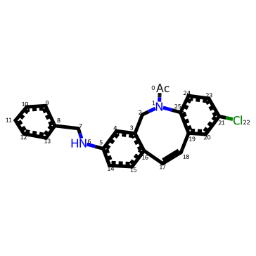 CC(=O)N1Cc2cc(NCc3ccccc3)ccc2C=Cc2cc(Cl)ccc21